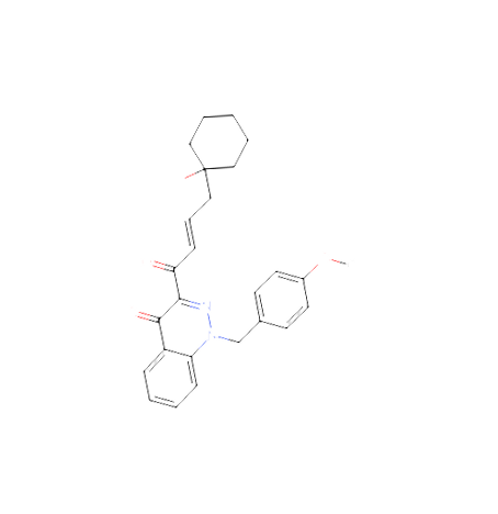 COc1ccc(Cn2nc(C(=O)/C=C/CC3(O)CCCCC3)c(=O)c3ccccc32)cc1